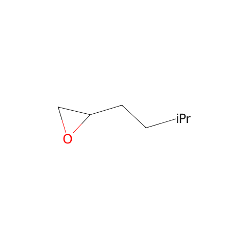 [CH2]C(C)CCC1CO1